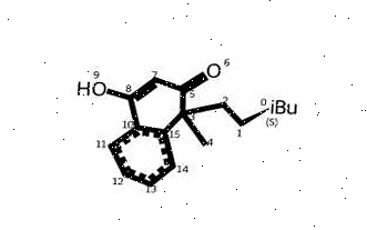 CC[C@H](C)CCC1(C)C(=O)C=C(O)c2ccccc21